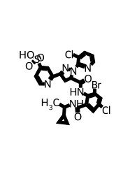 CC(NC(=O)c1cc(Cl)cc(Br)c1NC(=O)C1CC(c2cc(S(=O)(=O)O)ccn2)=NN1c1ncccc1Cl)C1CC1